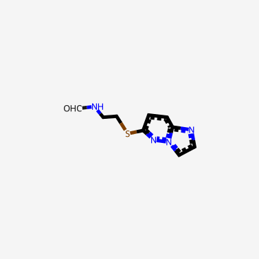 O=CNCCSc1ccc2nccn2n1